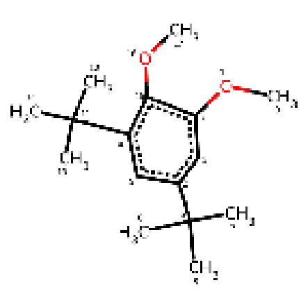 COc1cc(C(C)(C)C)cc(C(C)(C)C)c1OC